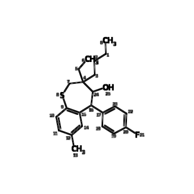 CCCCC1(CC)CSc2ccc(C)cc2C(c2ccc(F)cc2)C1O